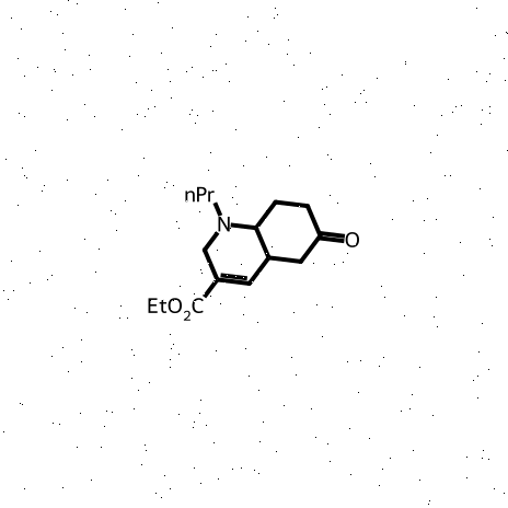 CCCN1CC(C(=O)OCC)=CC2CC(=O)CCC21